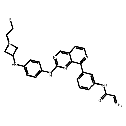 C=CC(=O)Nc1cccc(-c2nccc3cnc(Nc4ccc(NC5CN(CCF)C5)cc4)nc23)c1